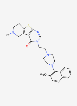 CCN1CCc2sc3ncn(CCN4CCN(c5c(OC)ccc6ccccc56)CC4)c(=O)c3c2C1